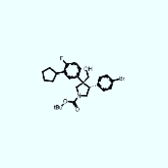 CC(C)(C)OC(=O)N1C[C@@H](c2ccc(Br)cc2)[C@@](CO)(c2ccc(F)c(C3CCCC3)c2)C1